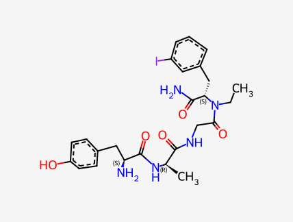 CCN(C(=O)CNC(=O)[C@@H](C)NC(=O)[C@@H](N)Cc1ccc(O)cc1)[C@@H](Cc1cccc(I)c1)C(N)=O